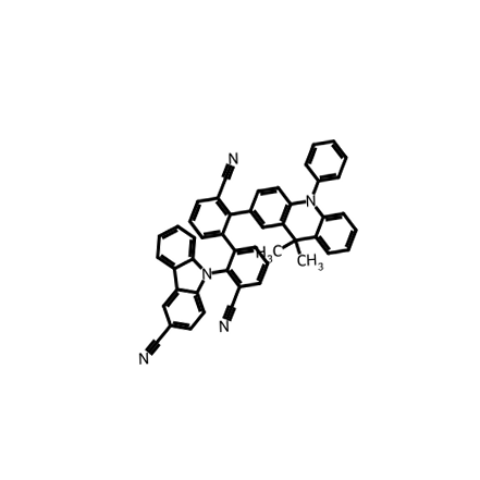 CC1(C)c2ccccc2N(c2ccccc2)c2ccc(-c3c(C#N)cccc3-c3cccc(C#N)c3-n3c4ccccc4c4cc(C#N)ccc43)cc21